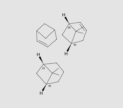 C1=CC2CC(C1)C2.CC1(C)[C@@H]2CC=C[C@H]1C2.CC1(C)[C@@H]2CCC[C@H]1C2